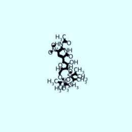 CC(=O)Nc1[nH]c(=O)c(C2O[C@@H]3CO[Si](C(C)C)(C(C)C)O[Si](C(C)C)(C(C)C)O[C@@H]3[C@@H]2O)cc1[N+](=O)[O-]